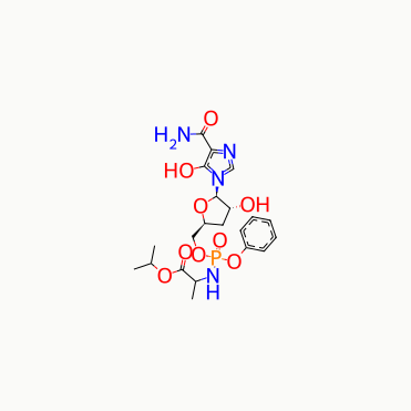 CC(C)OC(=O)C(C)NP(=O)(OC[C@@H]1C[C@@H](O)[C@H](n2cnc(C(N)=O)c2O)O1)Oc1ccccc1